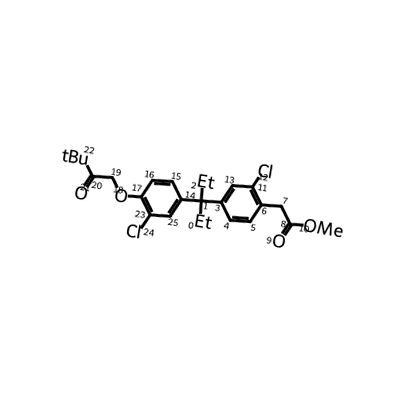 CCC(CC)(c1ccc(CC(=O)OC)c(Cl)c1)c1ccc(OCC(=O)C(C)(C)C)c(Cl)c1